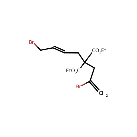 C=C(Br)CC(C/C=C/CBr)(C(=O)OCC)C(=O)OCC